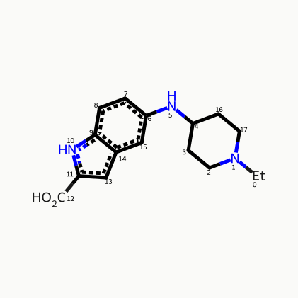 CCN1CCC(Nc2ccc3[nH]c(C(=O)O)cc3c2)CC1